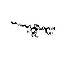 CCCSSCCCOC1NC(N)=Nc2c1ncn2COC(CO)CO